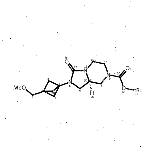 COCC12CC(N3C[C@@H]4CN(C(=O)OC(C)(C)C)CCN4C3=O)(C1)C2